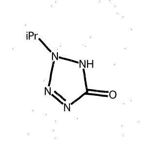 CC(C)n1nnc(=O)[nH]1